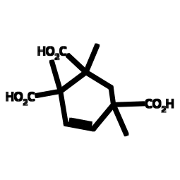 CC1(C(=O)O)C=CC(C)(C(=O)O)C(C)(C(=O)O)C1